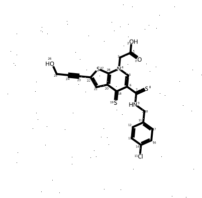 O=C(O)Cn1cc(C(=S)NCc2ccc(Cl)cc2)c(=S)c2cc(C#CCO)sc21